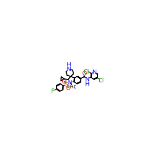 CC(=O)[N+]1(S(=O)(=O)c2ccc(F)cc2)c2ccc(C(=O)Nc3cc(Cl)cnc3Cl)cc2C2(CCNCC2)C1C1CC1